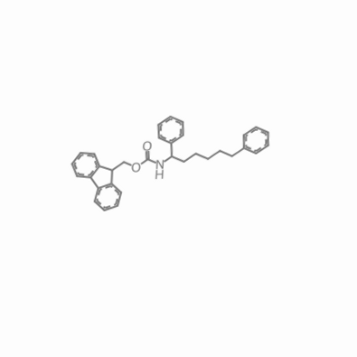 O=C(NC(CCCCCc1ccccc1)c1ccccc1)OCC1c2ccccc2-c2ccccc21